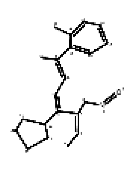 C\C=C(CN=O)/C(=C\C=C(/C)c1ccccc1C)C1CCCC1